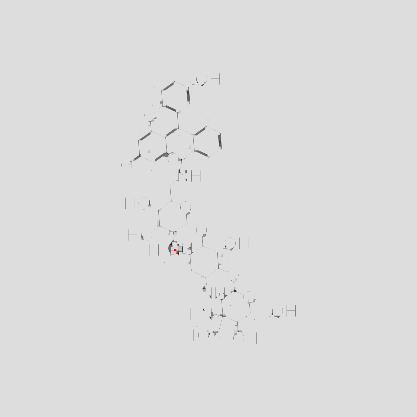 NC1CC(N)C(O[C@H]2OC(CNC(=O)c3ccccc3-c3c4ccc(=O)cc-4oc4ccc(O)cc34)[C@@H](O)C(O)C2O)[C@H](O)C1OC1CC(N)(CO)C(O)[C@@H](CO)O1